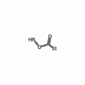 CCC(=O)O[NH]